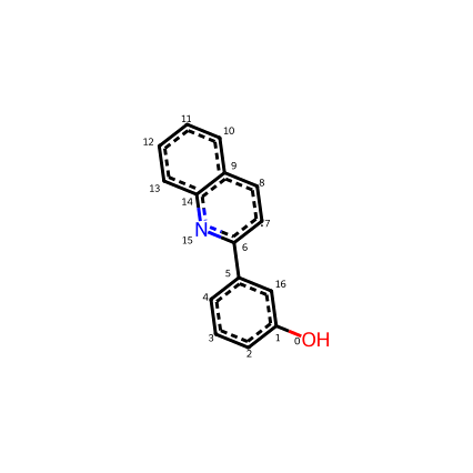 Oc1cccc(-c2[c]cc3ccccc3n2)c1